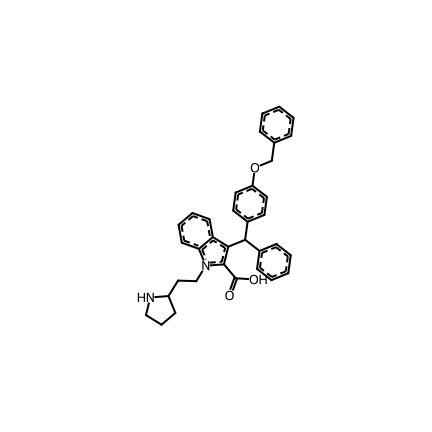 O=C(O)c1c(C(c2ccccc2)c2ccc(OCc3ccccc3)cc2)c2ccccc2n1CCC1CCCN1